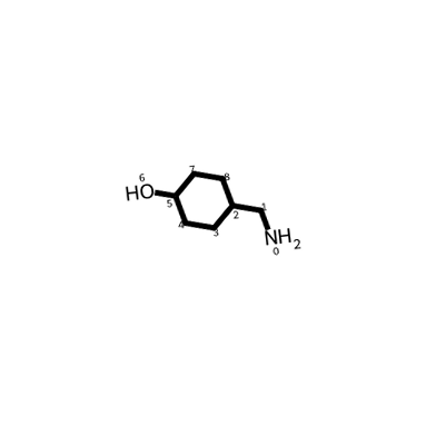 NCC1CCC(O)CC1